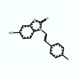 O=c1sc2cc(O)ccc2n1C=Cc1ccc(F)cc1